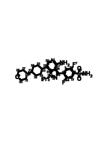 CC(C)n1nc(-c2cc(F)c(S(N)(=O)=O)cc2F)c2c(N)ncc(C3CCC(N4CCOCC4)CC3)c21